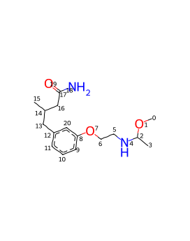 COC(C)NCCOc1cccc(CC(C)CC(N)=O)c1